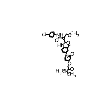 COCC1C(C(=O)Nc2ccc(Cl)cc2)C1C(=O)Nc1ccc(-n2ccc(OCC(=O)N(C)C)cc2=O)cc1F